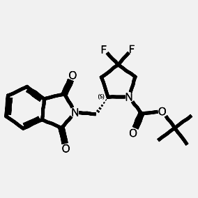 CC(C)(C)OC(=O)N1CC(F)(F)C[C@H]1CN1C(=O)c2ccccc2C1=O